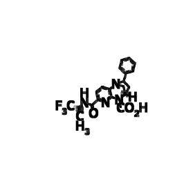 C[C@@H](NC(=O)c1ccc2c(n1)N(C(=O)O)[C@H]1CC(c3ccccc3)N2C1)C(F)(F)F